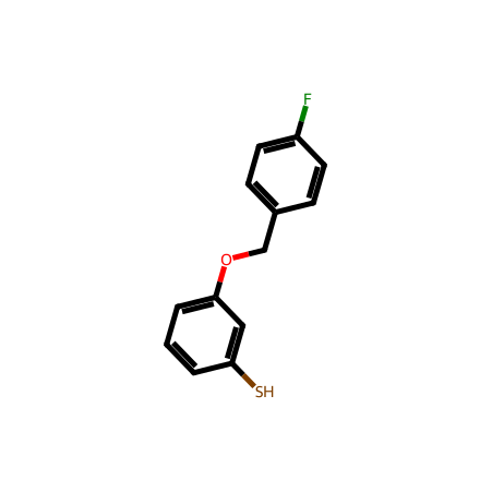 Fc1ccc(COc2cccc(S)c2)cc1